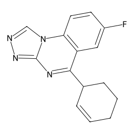 Fc1ccc2c(c1)c(C1C=CCCC1)nc1nncn12